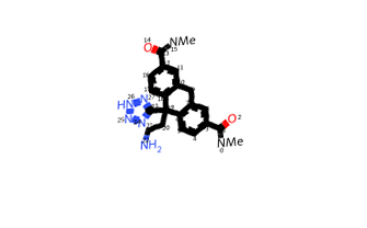 CNC(=O)c1ccc2c(c1)Cc1cc(C(=O)NC)ccc1C2(CCN)c1nn[nH]n1